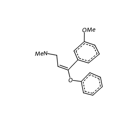 CNCC=C(Oc1ccccc1)c1cccc(OC)c1